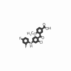 COc1ccc(C(=O)O)cc1C(=O)c1ccc(Nc2ccc(F)cc2F)cc1Cl